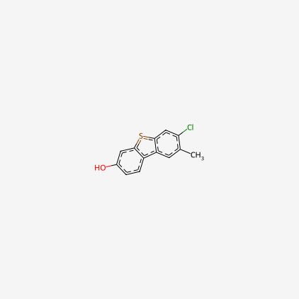 Cc1cc2c(cc1Cl)sc1cc(O)ccc12